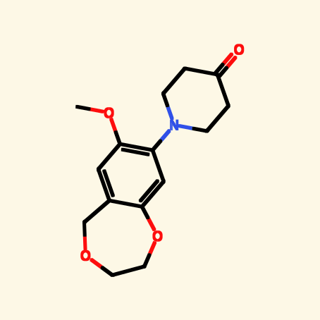 COc1cc2c(cc1N1CCC(=O)CC1)OCCOC2